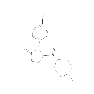 CN1CCN(C(=O)C2CCC(=O)N2c2ccc(Br)cc2)CC1